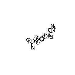 C=N/C=C(\C=C(/C)S(=O)(=O)c1ccc(CNC(=O)c2ccc3nccn3c2)cc1)N1CCCC1